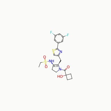 CCS(=O)(=O)N[C@@H]1CCN(C(=O)C2(O)CCC2)[C@@H]1Cc1csc(-c2cc(F)cc(F)c2)n1